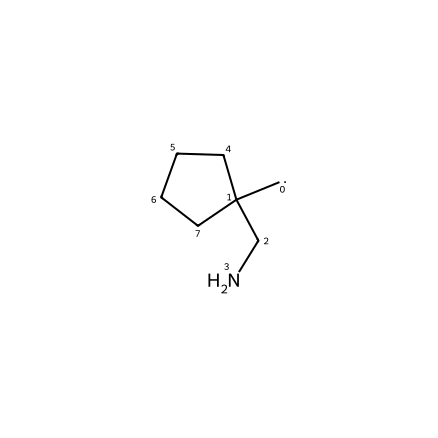 [CH2]C1(CN)CCCC1